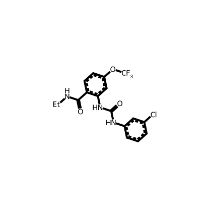 CCNC(=O)c1ccc(OC(F)(F)F)cc1NC(=O)Nc1cccc(Cl)c1